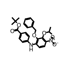 CC(C)Oc1c([N+](=O)[O-])ccc(Nc2ccc(C(=O)OC(C)(C)C)cc2)c1OCc1ccccc1